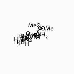 COc1cc(C#Cc2cn(C3CC(C(=O)NNC(=O)CN(C)C)N(C(=O)OC(C)(C)C)C3)c3ncnc(N)c23)cc(OC)c1